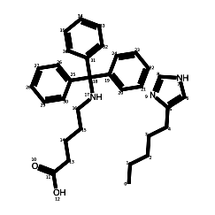 CCCCCc1c[nH]cn1.O=C(O)CCCCNC(c1ccccc1)(c1ccccc1)c1ccccc1